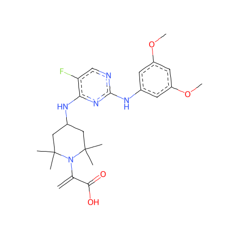 C=C(C(=O)O)N1C(C)(C)CC(Nc2nc(Nc3cc(OC)cc(OC)c3)ncc2F)CC1(C)C